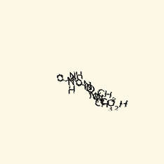 CC1CN(CC2CC(c3ccc(C(=N)NCCc4ccccc4)cc3)=NO2)CC(C)N1CC(=O)O